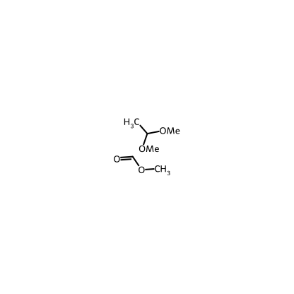 COC(C)OC.COC=O